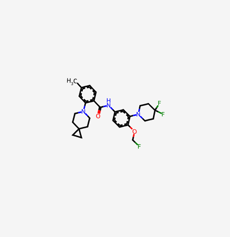 Cc1ccc(C(=O)Nc2ccc(OCF)c(N3CCC(F)(F)CC3)c2)c(N2CCC3(CC2)CC3)c1